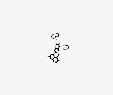 C#Cc1c(F)ccc2cc(O)cc(-c3cc4nc(OC[C@@]56CCCN5C[C@H](F)C6)c(C#N)c(N5C[C@H]6CC[C@@H](C5)N6)c4cn3)c12